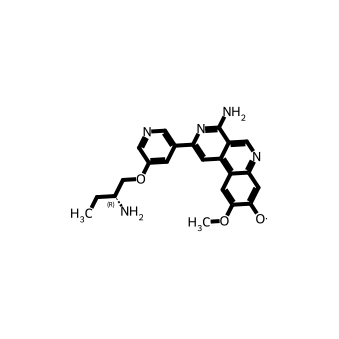 CC[C@@H](N)COc1cncc(-c2cc3c(cnc4cc([O])c(OC)cc43)c(N)n2)c1